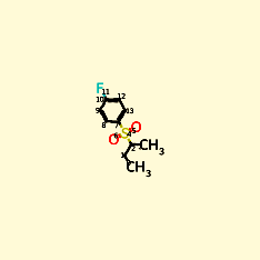 CCC(C)S(=O)(=O)c1ccc(F)cc1